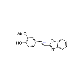 COc1cc(/C=C/c2nc3ccccc3o2)ccc1O